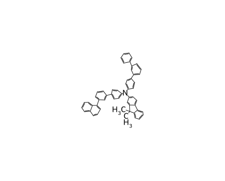 CC1(C)c2ccccc2-c2ccc(N(c3ccc(-c4cccc(-c5ccccc5)c4)cc3)c3ccc(-c4cccc(-c5cccc6ccccc56)c4)cc3)cc21